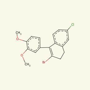 COc1ccc(C2=C(Br)CCc3cc(Cl)ccc32)cc1OC